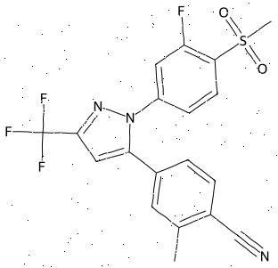 Cc1cc(-c2cc(C(F)(F)F)nn2-c2ccc(S(C)(=O)=O)c(F)c2)ccc1C#N